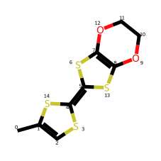 CC1=CSC(=C2SC3=C(OCCO3)S2)S1